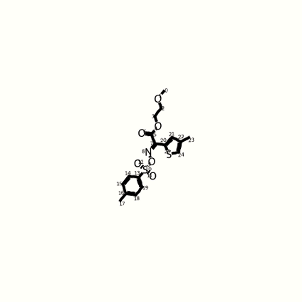 COCCOC(=O)C(=NOS(=O)(=O)c1ccc(C)cc1)c1cc(C)cs1